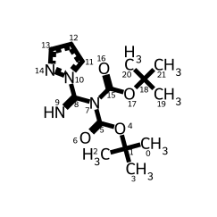 CC(C)(C)OC(=O)N(C(=N)n1cccn1)C(=O)OC(C)(C)C